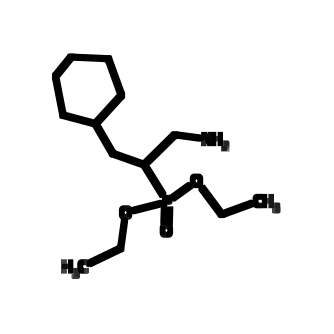 CCOP(=O)(OCC)C(CN)CC1CCCCC1